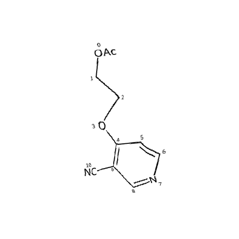 CC(=O)OCCOc1ccncc1C#N